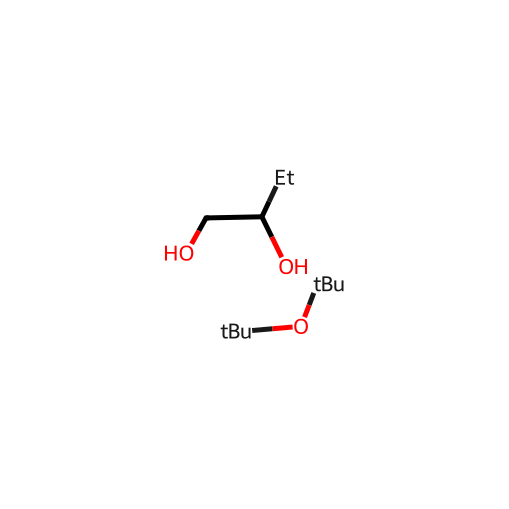 CC(C)(C)OC(C)(C)C.CCC(O)CO